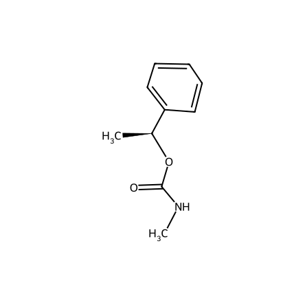 CNC(=O)O[C@@H](C)c1ccccc1